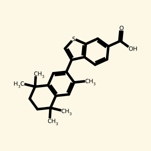 Cc1cc2c(cc1-c1csc3cc(C(=O)O)ccc13)C(C)(C)CCC2(C)C